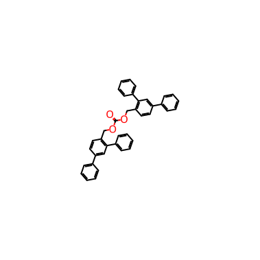 O=C(OCc1ccc(-c2ccccc2)cc1-c1ccccc1)OCc1ccc(-c2ccccc2)cc1-c1ccccc1